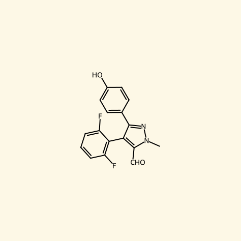 Cn1nc(-c2ccc(O)cc2)c(-c2c(F)cccc2F)c1C=O